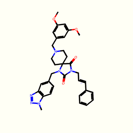 COc1cc(CN2CCC3(CC2)C(=O)N(C/C=C/c2ccccc2)C(=O)N3Cc2ccc3c(c2)nnn3C)cc(OC)c1